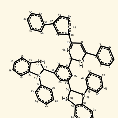 C1=C(c2ccccc2)NC(c2cc(C3Nc4ccccc4N3c3ccccc3)cc(C3Nc4ccccc4N3c3ccccc3)c2)N=C1c1cccc(-c2ccccc2)c1